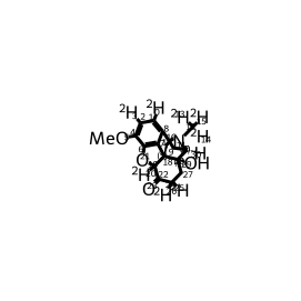 [2H]c1c([2H])c(OC)c2c3c1C[C@H]1N(C([2H])([2H])[2H])CC[C@@]34C([2H])(O2)C(=O)C([2H])([2H])C[C@@]14O